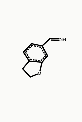 N=Cc1ccc2c(c1)OCC2